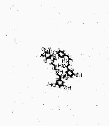 CC(Cc1ccc(O)cc1)NCC(O)c1cc(O)cc(O)c1.Cn1c(=O)c2c(ncn2CCCNCC(O)c2cc(O)cc(O)c2)n(C)c1=O